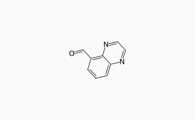 O=Cc1cccc2nccnc12